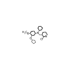 COc1ccc(N(Cc2cccnc2Cl)c2ccccc2)cc1OC1CCCC1